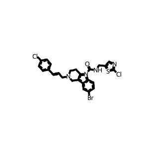 O=C(NCc1cnc(Cl)s1)n1c2c(c3cc(Br)ccc31)CN(C/C=C/c1ccc(Cl)cc1)CC2